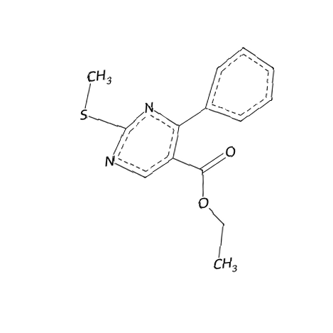 CCOC(=O)c1cnc(SC)nc1-c1ccccc1